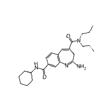 CCCN(CCC)C(=O)C1=Cc2ccc(C(=O)NC3CCCCC3)cc2N=C(N)C1